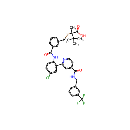 CC(C)(C)C(C)(SCc1cccc(C(=O)Nc2ccc(Cl)cc2-c2cc(C(=O)NCc3cccc(C(F)(F)F)c3)ccn2)c1)C(=O)O